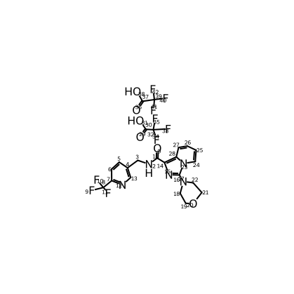 O=C(NCc1ccc(C(F)(F)F)nc1)c1nc(N2CCOCC2)n2ccccc12.O=C(O)C(F)(F)F.O=C(O)C(F)(F)F